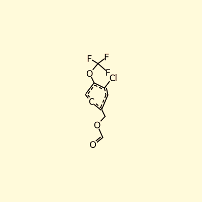 O=COCc1ccc(OC(F)(F)F)c(Cl)c1